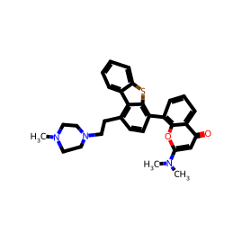 CN1CCN(CCc2ccc(-c3cccc4c(=O)cc(N(C)C)oc34)c3sc4ccccc4c23)CC1